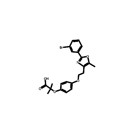 Cc1oc(-c2cccc(Br)c2)nc1CCOc1ccc(OC(C)(C)C(=O)O)cc1